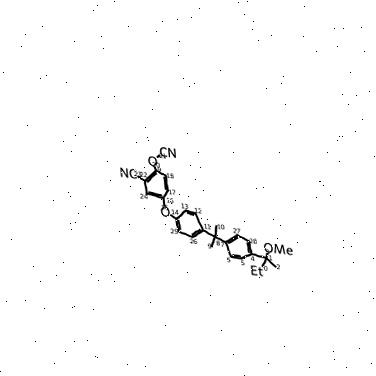 CCC(C)(OC)c1ccc(C(C)(C)c2ccc(Oc3ccc(OC#N)c(C#N)c3)cc2)cc1